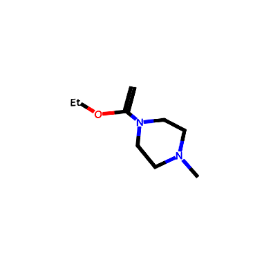 C=C(OCC)N1CCN(C)CC1